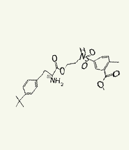 COC(=O)c1cc(S(=O)(=O)NCCOC(=O)[C@@H](N)Cc2ccc(C(C)(C)C)cc2)ccc1C